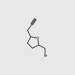 C#CCC1CCC(CBr)O1